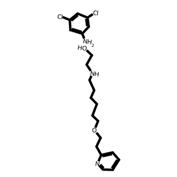 Nc1cc(Cl)cc(Cl)c1.OCCNCCCCCCOCCc1ccccn1